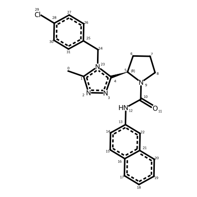 Cc1nnc([C@H]2CCCN2C(=O)Nc2ccc3ccccc3c2)n1Cc1ccc(Cl)cc1